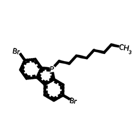 CCCCCCCCp1c2cc(Br)ccc2c2ccc(Br)cc21